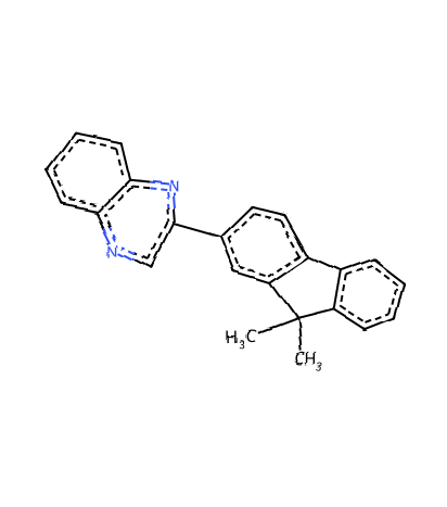 CC1(C)c2ccccc2-c2ccc(-c3cnc4ccccc4n3)cc21